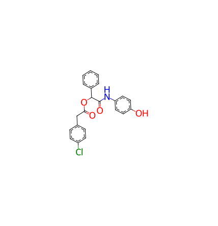 O=C(Cc1ccc(Cl)cc1)OC(C(=O)Nc1ccc(O)cc1)c1ccccc1